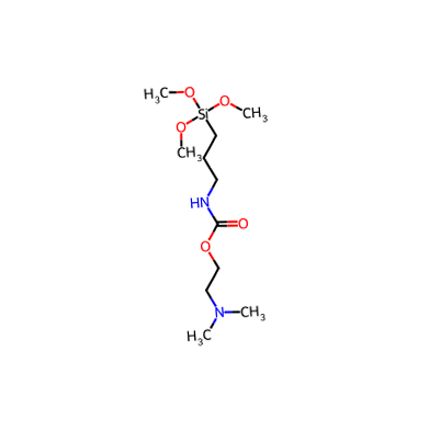 CO[Si](CCCNC(=O)OCCN(C)C)(OC)OC